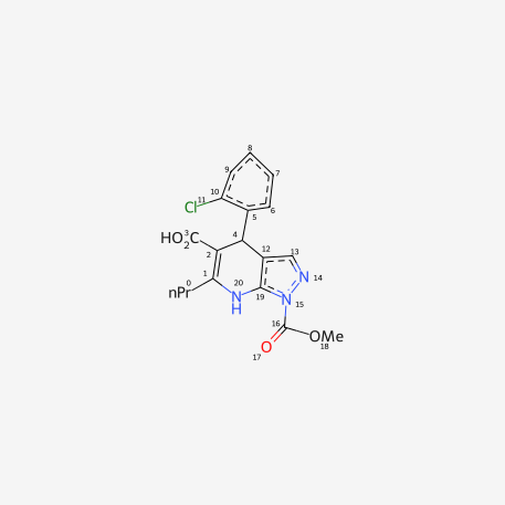 CCCC1=C(C(=O)O)C(c2ccccc2Cl)c2cnn(C(=O)OC)c2N1